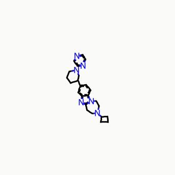 c1cnc(N2CCCC(c3ccc4c(c3)nc3n4CCN(C4CCC4)CC3)C2)cn1